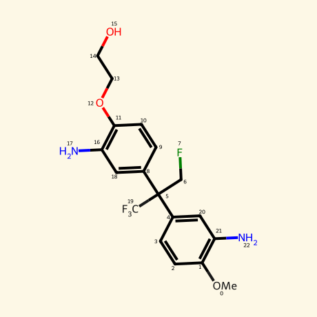 COc1ccc(C(CF)(c2ccc(OCCO)c(N)c2)C(F)(F)F)cc1N